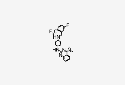 CN(C)c1nc(N[C@H]2CC[C@@H](NCc3cc(F)ccc3C(F)(F)F)CC2)nc2ccccc12